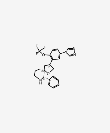 FC(F)(F)Oc1ccc(-n2cnnc2)cc1[C@H]1CO[C@]2(CCCN[C@H]2c2ccccc2)C1